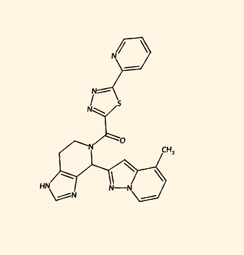 Cc1cccn2nc(C3c4nc[nH]c4CCN3C(=O)c3nnc(-c4ccccn4)s3)cc12